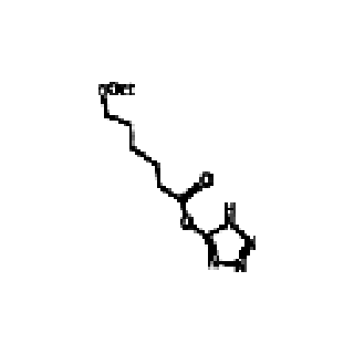 CCCCCCCCCCCCCC(=O)Oc1nnn[nH]1